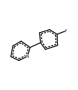 Fc1ccc(-c2ccccn2)cc1